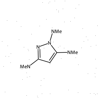 CNc1[c]c(NC)n(NC)n1